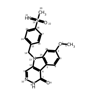 COc1ccc2c3c(=O)[nH]ncc3n(Cc3ccc(S(C)(=N)=O)cc3)c2c1